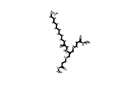 CC(C)(C)OC(=O)CCOCC(COCCC(=O)OC(C)(C)C)NCC(=O)CCCCCCCCCCC(=O)O